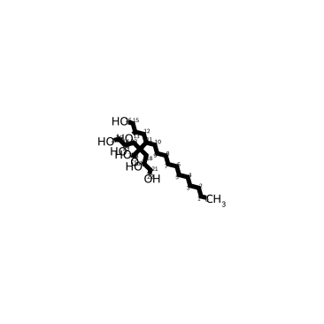 CCCCCCCCCCCC(CC(O)CO)C(CC(O)CO)(CC(O)CO)C(=O)O